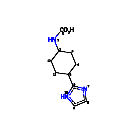 O=C(O)NC1CCC(c2ncc[nH]2)CC1